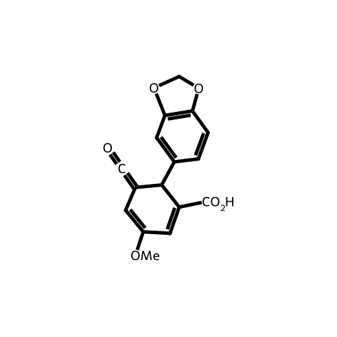 COC1=CC(=C=O)C(c2ccc3c(c2)OCO3)C(C(=O)O)=C1